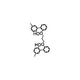 Cc1ccc(O)c(-c2ccccc2OCCCOc2ccccc2-c2cc(C)ccc2O)c1